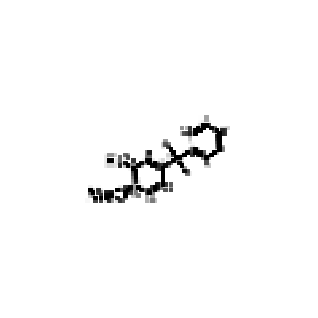 CCc1cc(C(C)(C)c2ccccc2)ccc1OC